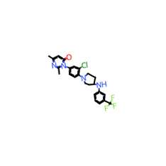 Cc1cc(=O)n(-c2ccc(N3CCC(Nc4cccc(C(F)(F)F)c4)CC3)c(Cl)c2)c(C)n1